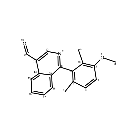 COc1ccc(C)c(-c2ncc(C=O)c3ccccc23)c1C